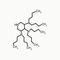 CCCCN(CCCC)C1[CH]NCC(N(CCCC)CCCC)C1N(CCCC)CCCC